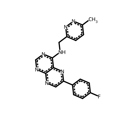 Cc1ccc(CNc2ncnc3ncc(-c4ccc(F)cc4)nc23)nn1